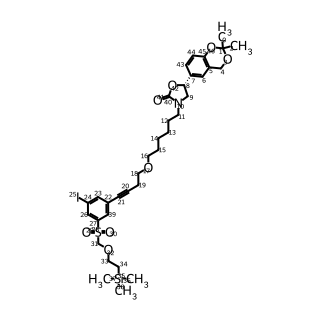 CC1(C)OCc2cc([C@@H]3CN(CCCCCCOCCC#Cc4cc(I)cc(S(=O)(=O)COCC[Si](C)(C)C)c4)C(=O)O3)ccc2O1